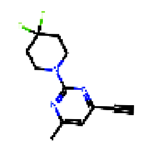 C#Cc1cc(C)nc(N2CCC(F)(F)CC2)n1